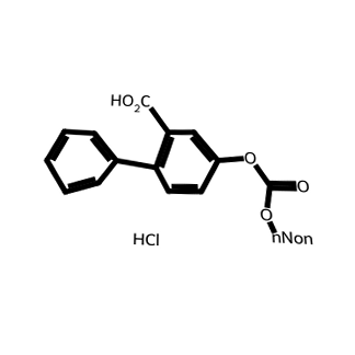 CCCCCCCCCOC(=O)Oc1ccc(-c2ccccc2)c(C(=O)O)c1.Cl